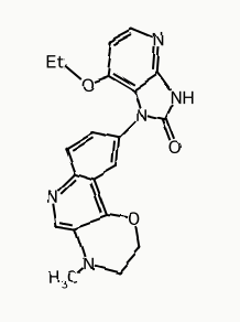 CCOc1ccnc2[nH]c(=O)n(-c3ccc4ncc5c(c4c3)OCCN5C)c12